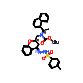 Cc1ccc(S(=O)(=O)N/N=C2\C[C@H](CN(C(=O)OC(C)(C)C)[C@H](C)c3cccc4ccccc34)Oc3ccccc32)cc1